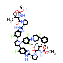 COC(=O)NC(C(=O)N1CCC[C@H]1c1nc2cc([C@H]3CC[C@H](c4cc5nc([C@@H]6CCCN6C(=O)C(NC(=O)OC)C(C)C)[nH]c5cc4F)N3c3cc(F)c(N4CCC(F)(c5ccccc5)CC4)c(F)c3)c(F)cc2[nH]1)C(C)C